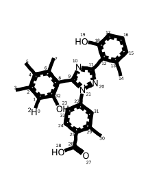 [2H]c1c(C)c(C)c(C)c(-c2nc(-c3c(C)cccc3O)nn2-c2ccc(C(=O)O)c(C)c2)c1O